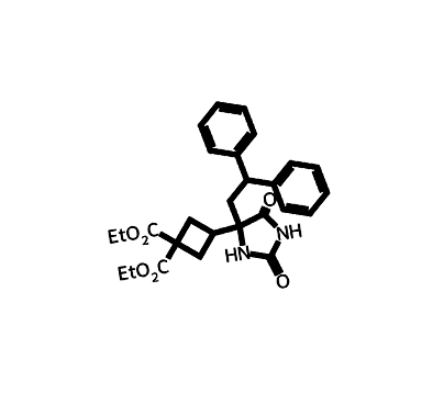 CCOC(=O)C1(C(=O)OCC)CC(C2(CC(c3ccccc3)c3ccccc3)NC(=O)NC2=O)C1